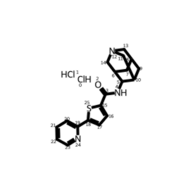 Cl.Cl.O=C(NC1C2CC3CC1CN(C3)C2)c1ccc(-c2ccccn2)s1